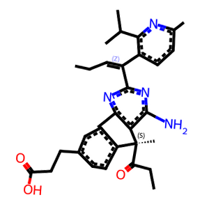 CC/C=C(\c1nc(C)c([C@@](C)(C(=O)CC)c2ccc(CCC(=O)O)cc2)c(N)n1)c1ccc(C)nc1C(C)C